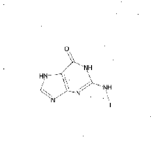 O=c1[nH]c(NI)nc2nc[nH]c12